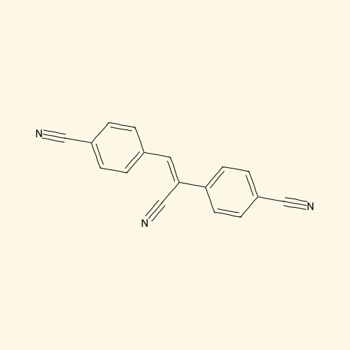 N#CC(=Cc1ccc(C#N)cc1)c1ccc(C#N)cc1